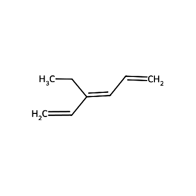 C=C/C=C(/C=C)CC